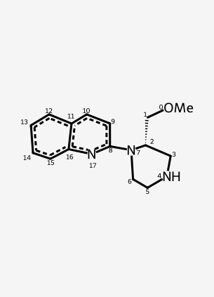 COC[C@@H]1CNCCN1c1ccc2ccccc2n1